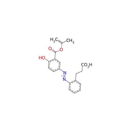 C=C(C)OC(=O)c1cc(/N=N/c2ccccc2CCC(=O)O)ccc1O